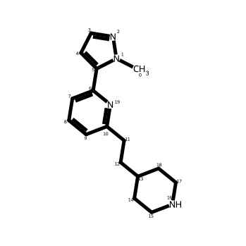 Cn1nccc1-c1cccc(CCC2CCNCC2)n1